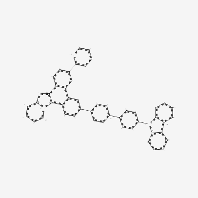 c1ccc(-c2ccc3c(c2)c2cc(-c4ccc(-c5ccc(-n6c7ccccc7c7ccccc76)cc5)cc4)ccc2c2c3nc3ccccn32)nc1